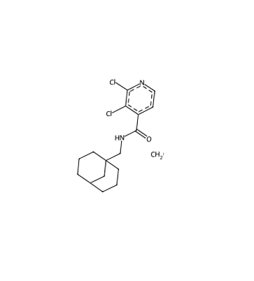 O=C(NCC12CCCC(CCC1)C2)c1ccnc(Cl)c1Cl.[CH2]